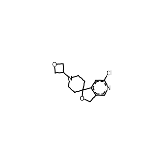 Clc1cc2c(cn1)COC21CCN(C2COC2)CC1